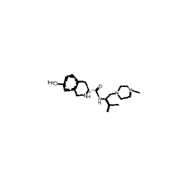 CC(C)C(CN1CCN(C)CC1)NC(=O)[C@H]1Cc2ccc(O)cc2CN1